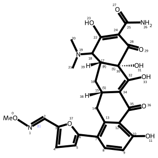 CO/N=C/c1ccc(-c2ccc(O)c3c2C[C@@H]2C[C@@H]4C(N(C)C)C(O)=C(C(N)=O)C(=O)[C@@]4(O)C(O)=C2C3=O)o1